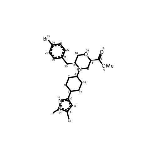 COC(=O)[C@H]1CN(C2CCC(c3cc(C)n(C)n3)CC2)[C@@H](Cc2ccc(Br)cc2)CO1